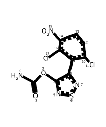 NC(=O)Oc1nsnc1-c1c(Cl)ccc([N+](=O)[O-])c1Cl